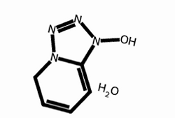 O.ON1N=NN2CC=CC=C12